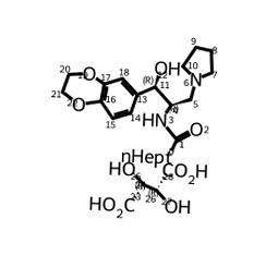 CCCCCCCC(=O)N[C@H](CN1CCCC1)[C@H](O)c1ccc2c(c1)OCCO2.O=C(O)[C@H](O)[C@@H](O)C(=O)O